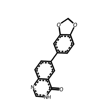 O=c1[nH]cnc2ccc(-c3ccc4c(c3)OCO4)cc12